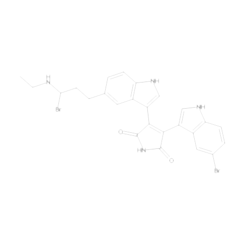 CCNC(Br)CCc1ccc2[nH]cc(C3=C(c4c[nH]c5ccc(Br)cc45)C(=O)NC3=O)c2c1